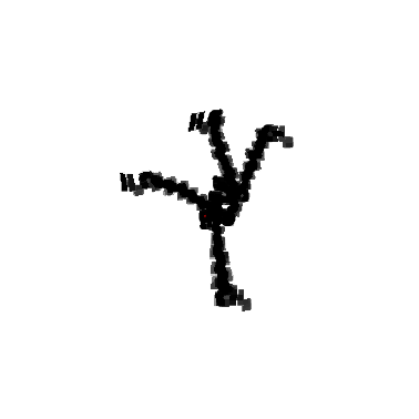 CCCCCCCCCCCCC(=O)C1(C(C=O)CCCCCCCCCCCC)OC(=O)CCC2C(C(=O)O1)C2(C(=O)CCCCCCCCCCCC)C(C=O)CCCCCCCCCCCC